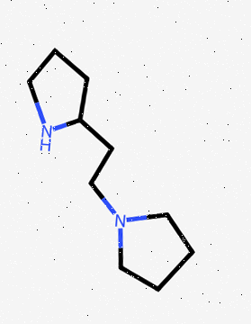 C1CNC(CCN2CCCC2)C1